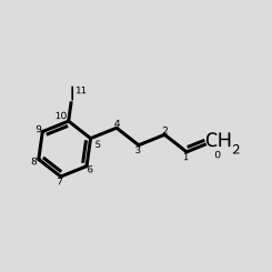 C=CCCCc1ccccc1I